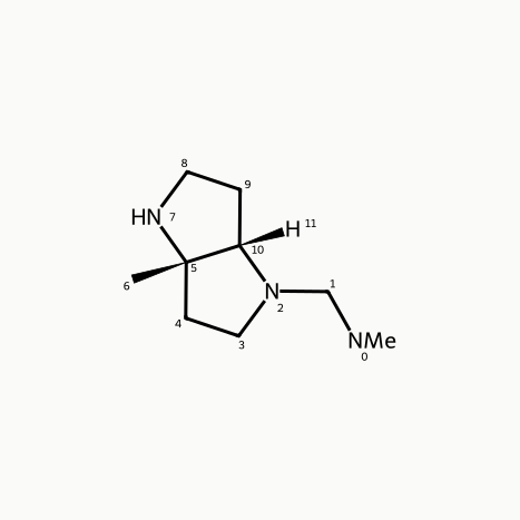 CNCN1CC[C@]2(C)NCC[C@H]12